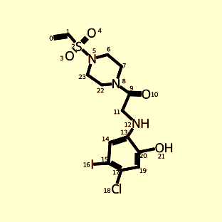 C=CS(=O)(=O)N1CCN(C(=O)CNc2cc(I)c(Cl)cc2O)CC1